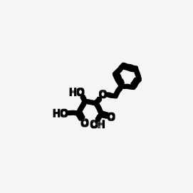 O=C(O)C(O)C(OCc1ccccc1)C(=O)O